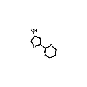 O[C@H]1CO[C@H](C2SCCCS2)C1